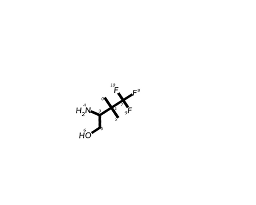 CC(C)(C(N)CO)C(F)(F)F